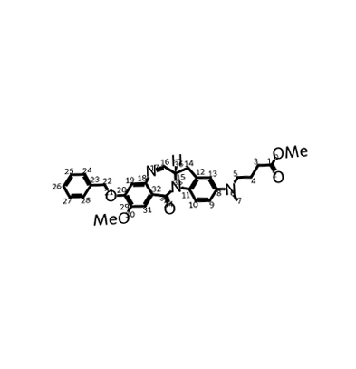 COC(=O)CCCN(C)c1ccc2c(c1)C[C@H]1C=Nc3cc(OCc4ccccc4)c(OC)cc3C(=O)N21